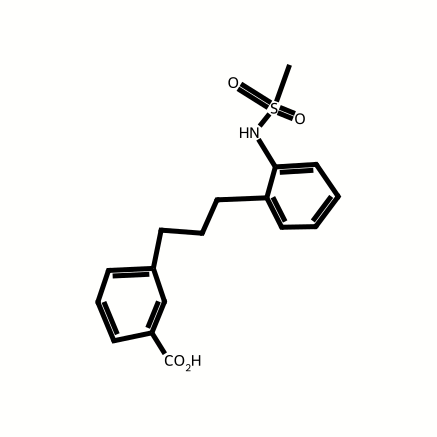 CS(=O)(=O)Nc1ccccc1CCCc1cccc(C(=O)O)c1